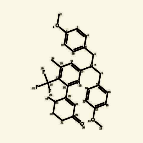 COc1ccc(CN(Cc2ccc(OC)cc2)c2cc(C)c(C(F)(F)F)c(C3=CC(=O)CCC3C)n2)cc1